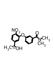 C[C@H](O)c1ccc([N+](=O)[O-])c(Oc2cccc(C(=O)N(C)C)c2)c1